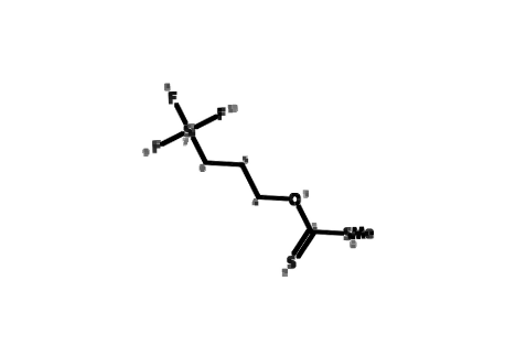 CSC(=S)OCCC[Si](F)(F)F